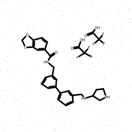 O=C(NCc1cccc(-c2cccc(CNC3CCNC3)c2)c1)c1ccc2c(c1)OCO2.O=C(O)C(F)(F)F.O=C(O)C(F)(F)F